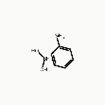 OBO.[SiH3]c1ccccc1